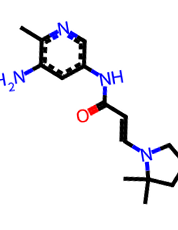 Cc1ncc(NC(=O)C=CN2CCCC2(C)C)cc1N